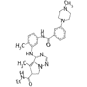 CCNC(=O)C1CN2N=CN=C(Nc3cc(NC(=O)c4cccc(N5CCN(C)CC5)c4)ccc3C)C2=C1C